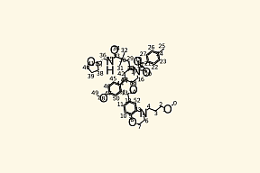 COCCCN1CCOc2ccc(CO[C@H]3CN(S(=O)(=O)c4ccc(C)cc4)[C@H](CC(C)(C)C(=O)NC[C@@H]4CCCO4)C[C@@H]3c3ccc(OC)cc3)cc21